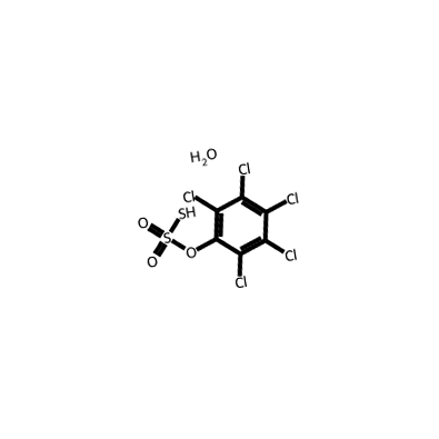 O.O=S(=O)(S)Oc1c(Cl)c(Cl)c(Cl)c(Cl)c1Cl